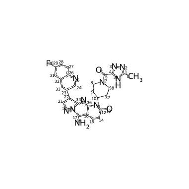 Cc1nnc(C(=O)N2CCC(n3c(=O)ccc4c(N)n5ncc(-c6cnc7ccc(F)cc7c6)c5nc43)CC2)[nH]1